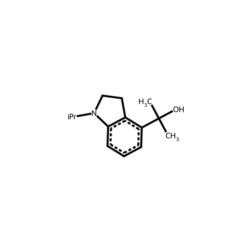 CC(C)N1CCc2c1cccc2C(C)(C)O